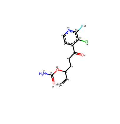 C=CC(CCC(=O)c1ccnc(F)c1Cl)OC(N)=O